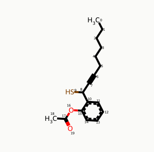 CCCCCCC#CC(S)c1ccccc1OC(C)=O